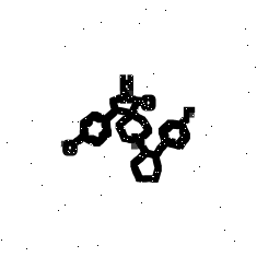 COc1ccc(C2CNC(=O)C23CCN(C2CCCCC2c2ccc(F)cc2)CC3)cc1